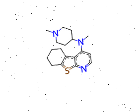 CN1CCC(N(C)c2ccnc3sc4c(c23)CCCC4)CC1